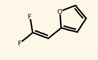 FC(F)=Cc1cc[c]o1